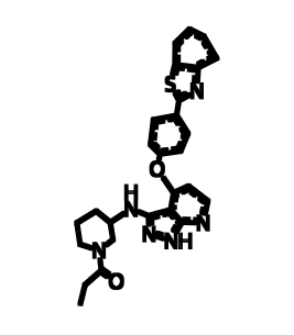 CCC(=O)N1CCCC(Nc2n[nH]c3nccc(Oc4ccc(-c5nc6ccccc6s5)cc4)c23)C1